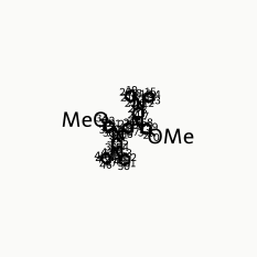 COc1ccc(N(c2ccc(N(c3ccccc3)c3ccccc3)cc2)c2ccc(N(c3ccc(OC)cc3)c3ccc(N(c4ccccc4)c4ccccc4)cc3)cc2)cc1